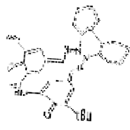 CC(C)(C)C1=CC(=C/N=N/c2ccccc2-c2ccccc2/N=N/C=C2C=C(C(C)(C)C)C(=O)C(C(C)(C)C)=C2)C=C(C(C)(C)C)C1=O